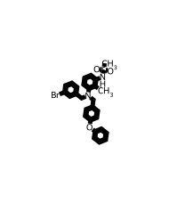 Cc1c(NS(C)(=O)=O)cccc1N(Cc1ccc(Oc2ccccc2)cc1)Cc1cccc(Br)c1